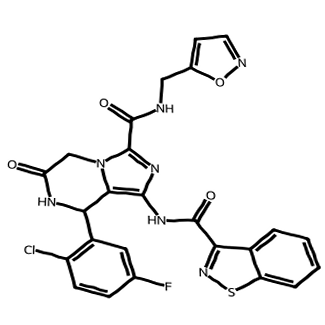 O=C1Cn2c(C(=O)NCc3ccno3)nc(NC(=O)c3nsc4ccccc34)c2C(c2cc(F)ccc2Cl)N1